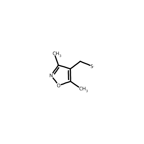 Cc1noc(C)c1C[S]